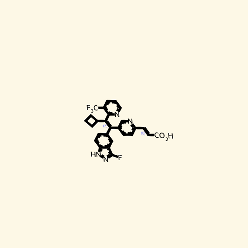 O=C(O)/C=C/c1ccc(/C(=C(\c2ncccc2C(F)(F)F)C2CCC2)c2ccc3[nH]nc(F)c3c2)cn1